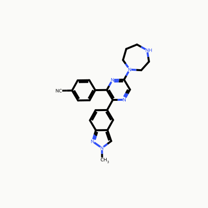 Cn1cc2cc(-c3ncc(N4CCCNCC4)nc3-c3ccc(C#N)cc3)ccc2n1